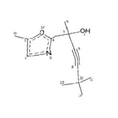 Cc1cnc(C(C)(O)C#CC(C)(C)C)o1